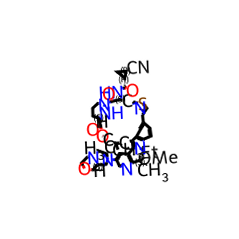 CCn1c(-c2cc(N3CCN4CCOC[C@@H]4C3)cnc2[C@H](C)OC)c2c3cc(ccc31)-c1csc(n1)C[C@H](NC(=O)[C@@H]1C[C@H]1C#N)C(=O)N1CCC[C@H](N1)C(=O)OCC(C)(C)C2